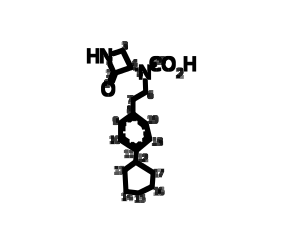 O=C1NC[C@@H]1N(CCc1ccc(C2CCCCC2)cc1)C(=O)O